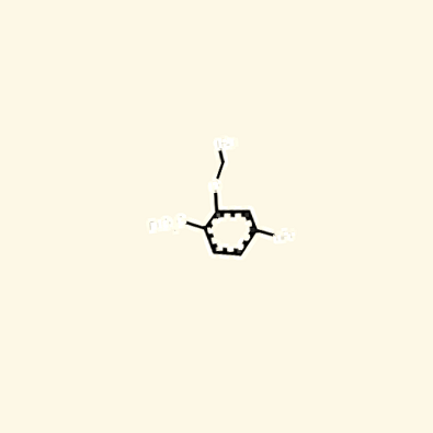 CCCc1ccc(C(=O)OCC)c(OCC(C)(C)C)c1